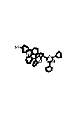 N#Cc1ccc(-c2cccc3c2-c2ccccc2C32c3ccccc3Oc3c(-c4nc(-c5ccccc5)nc(-c5ccccc5)n4)cccc32)c(C#N)c1